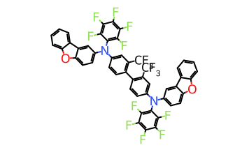 Fc1c(F)c(F)c(N(c2ccc(-c3ccc(N(c4ccc5oc6ccccc6c5c4)c4c(F)c(F)c(F)c(F)c4F)cc3C(F)(F)F)c(C(F)(F)F)c2)c2ccc3oc4ccccc4c3c2)c(F)c1F